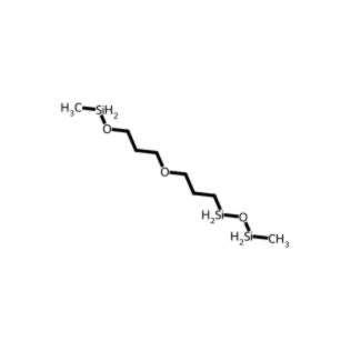 C[SiH2]OCCCOCCC[SiH2]O[SiH2]C